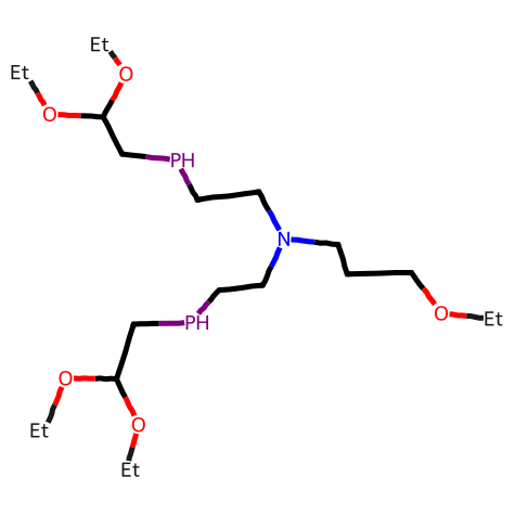 CCOCCCN(CCPCC(OCC)OCC)CCPCC(OCC)OCC